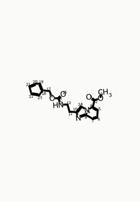 COC(=O)c1cccc2nc(CCNC(=O)OCc3ccccc3)cn12